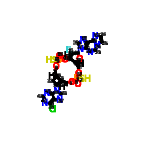 O=P1(S)OC[C@@H]2[C@@H](COP(=O)(S)O[C@H]3[C@@H](F)[C@H](n4cnc5c4ncn4ccnc54)O[C@@H]3CO1)C[C@H]2n1cnc2c(Cl)ncnc21